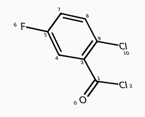 O=C(Cl)c1cc(F)ccc1Cl